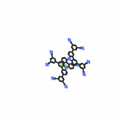 N#Cc1cc(C#N)cc(-c2ccc3c(c2)c2cc(-c4cc(C#N)cc(C#N)c4)ccc2n3-c2ccc(C#N)cc2-c2c(-n3c4ccc(-c5cc(C#N)cc(C#N)c5)cc4c4cc(-c5cc(C#N)cc(C#N)c5)ccc43)cccc2C(F)(F)F)c1